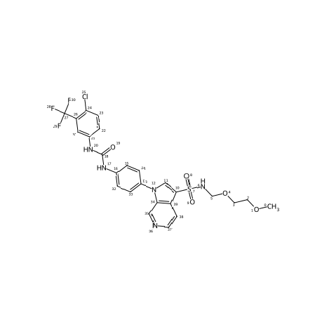 COCCOCNS(=O)(=O)c1cn(-c2ccc(NC(=O)Nc3ccc(Cl)c(C(F)(F)F)c3)cc2)c2cnccc12